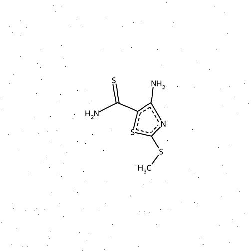 CSc1nc(N)c(C(N)=S)s1